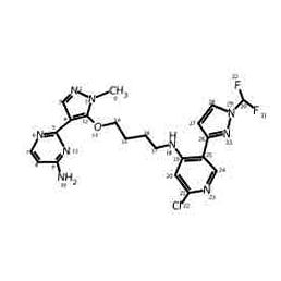 Cn1ncc(-c2nccc(N)n2)c1OCCCCNc1cc(Cl)ncc1-c1ccn(C(F)F)n1